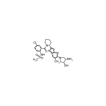 Cc1cn2nc([C@@H]3CCCCN3C(=O)c3cc(Cl)ccc3NS(C)(=O)=O)cc2nc1N1C[C@@H](N)[C@@H](O)C1